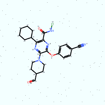 N#Cc1ccc(Oc2nc(C(=O)NCl)c(C3CCCCC3)nc2N2CCC(C=O)CC2)cc1